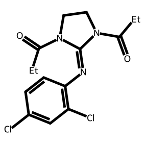 CCC(=O)N1CCN(C(=O)CC)C1=Nc1ccc(Cl)cc1Cl